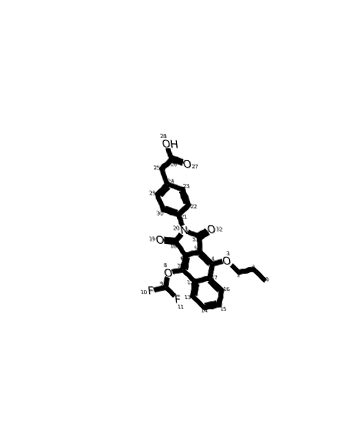 CCCOc1c2c(c(OC(F)F)c3ccccc13)C(=O)N(c1ccc(CC(=O)O)cc1)C2=O